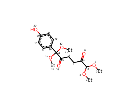 CCOC(OCC)C(=O)CCC(=O)C(OCC)(OCC)c1ccc(O)cc1